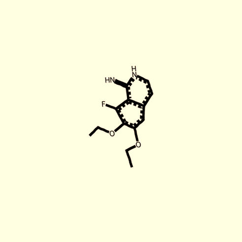 CCOc1cc2cc[nH]c(=N)c2c(F)c1OCC